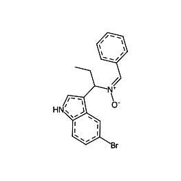 CCC(c1c[nH]c2ccc(Br)cc12)/[N+]([O-])=C\c1ccccc1